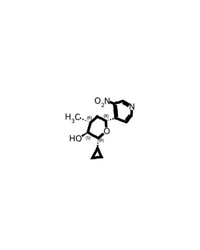 C[C@@H]1C[C@H](c2ccncc2[N+](=O)[O-])O[C@H](C2CC2)[C@H]1O